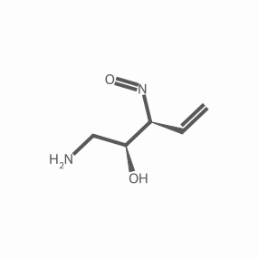 C=C[C@H](N=O)[C@@H](O)CN